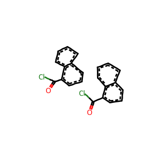 O=C(Cl)c1cccc2ccccc12.O=C(Cl)c1cccc2ccccc12